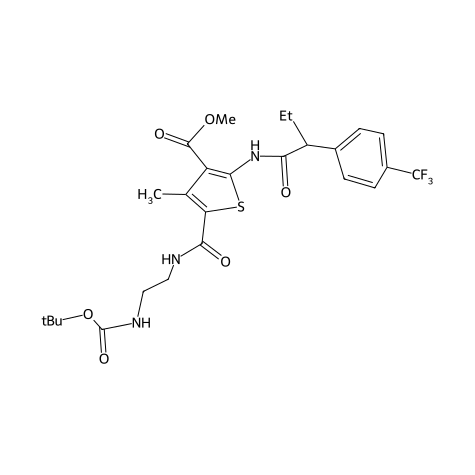 CCC(C(=O)Nc1sc(C(=O)NCCNC(=O)OC(C)(C)C)c(C)c1C(=O)OC)c1ccc(C(F)(F)F)cc1